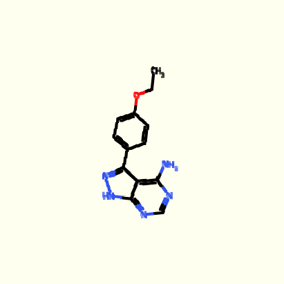 CCOc1ccc(-c2n[nH]c3ncnc(N)c23)cc1